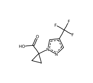 O=C(O)C1(n2cc(C(F)(F)F)cn2)CC1